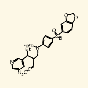 C=C=CC(CN(CCC)c1ccc(S(=O)(=O)c2ccc3c(c2)OCO3)cc1)C(CC)c1cccnc1